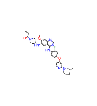 C=CC(=O)N1CCC(Nc2cc3c(Nc4ccc(Oc5ccnc(N6CCC[C@H](C)C6)c5)cc4F)ncnc3cc2OC)CC1